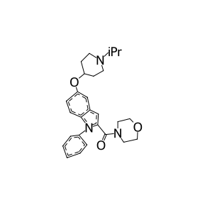 CC(C)N1CCC(Oc2ccc3c(c2)cc(C(=O)N2CCOCC2)n3-c2ccccc2)CC1